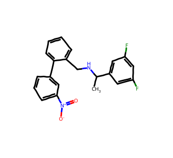 CC(NCc1ccccc1-c1cccc([N+](=O)[O-])c1)c1cc(F)cc(F)c1